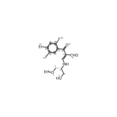 CCOC[C@@H](CO)NC=C(C=O)C(=O)c1cc(I)c(CC)cc1F